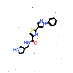 O=C(NCC1CCNC1)c1csc(-c2cnn(-c3ccccc3)c2)n1